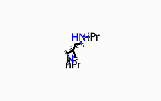 CCCN1CC(CCNC(C)C)C1